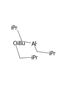 CC(C)COCC(C)C.CC(C)[CH2][Al][CH2]C(C)C